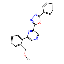 COCc1ccccc1-c1cncc(-c2nnc(-c3ccccc3)o2)n1